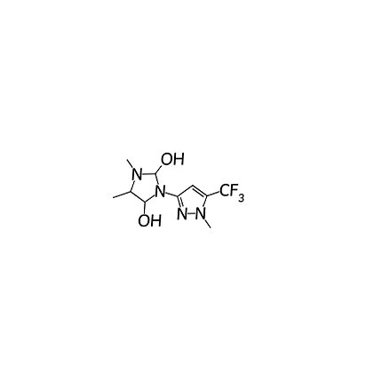 CC1C(O)N(c2cc(C(F)(F)F)n(C)n2)C(O)N1C